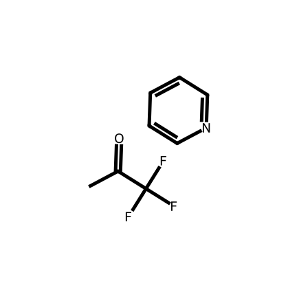 CC(=O)C(F)(F)F.c1ccncc1